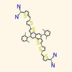 Cc1cccc(C)c1-c1cc2c(cc(-c3c(C)cccc3C)c3cc(-c4ccc(/C=c5/ccc(=C(C#N)C#N)s5)s4)sc32)c2sc(-c3ccc(/C=c4/ccc(=C(C#N)C#N)s4)s3)cc12